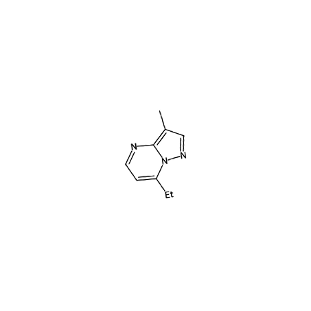 CCc1ccnc2c(C)cnn12